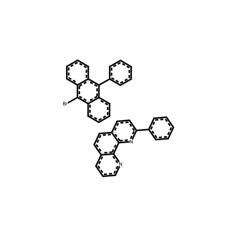 Brc1c2ccccc2c(-c2ccccc2)c2ccccc12.c1ccc(-c2ccc3ccc4cccnc4c3n2)cc1